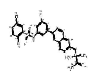 CC(C)(Cc1ncc2cc(-c3cc(F)cc(NS(=O)(=O)c4cc(Cl)ccc4Cl)c3)ccc2n1)C(N)=O